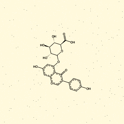 O=C(O)[C@H]1OC(Oc2cc(O)cc3occ(-c4ccc(O)cc4)c(=O)c23)[C@H](O)[C@@H](O)[C@@H]1O